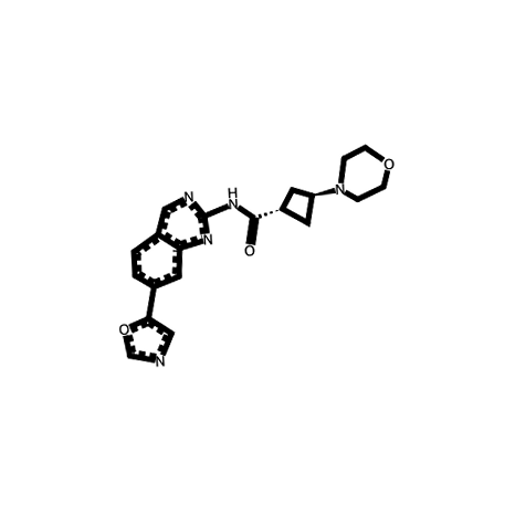 O=C(Nc1ncc2ccc(-c3cnco3)cc2n1)[C@H]1C[C@H](N2CCOCC2)C1